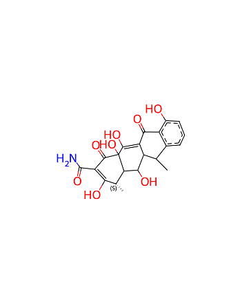 CC1c2cccc(O)c2C(=O)C2=C(O)C3(O)C(=O)C(C(N)=O)=C(O)[C@@H](C)C3C(O)C21